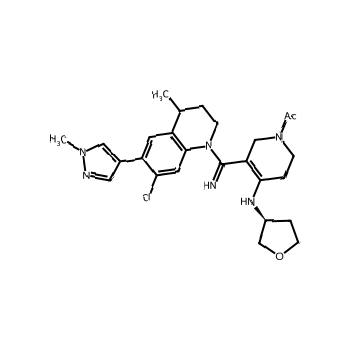 CC(=O)N1CCC(N[C@H]2CCOC2)=C(C(=N)N2CCC(C)c3cc(-c4cnn(C)c4)c(Cl)cc32)C1